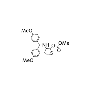 COC(=O)OC1SCCC1NC(c1ccc(OC)cc1)c1ccc(OC)cc1